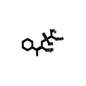 CCCCCC(N)P(=O)(O)CC(C(=O)O)=C(C)C1CCCCC1